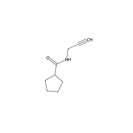 C#CCNC(=O)C1CCCC1